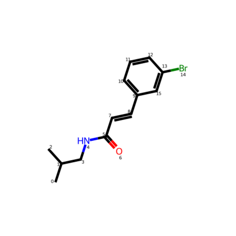 CC(C)CNC(=O)C=Cc1cccc(Br)c1